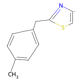 Cc1ccc(Cc2n[c]cs2)cc1